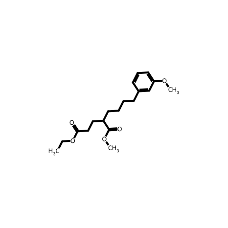 CCOC(=O)CCC(CCCCc1cccc(OC)c1)C(=O)OC